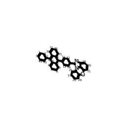 c1ccc(-c2c3ccccc3c(-c3ccc(-c4nc5cccc6c5n4-c4ccccc4O6)cc3)c3ccccc23)cc1